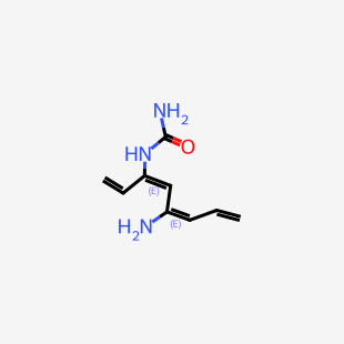 C=C/C=C(N)\C=C(/C=C)NC(N)=O